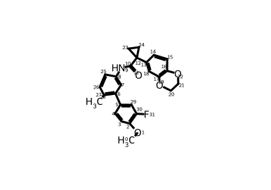 COc1ccc(-c2cc(NC(=O)C3(c4ccc5c(c4)OCCO5)CC3)ccc2C)cc1F